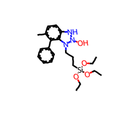 CCO[Si](CCCN1c2c(ccc(C)c2-c2ccccc2)NN1O)(OCC)OCC